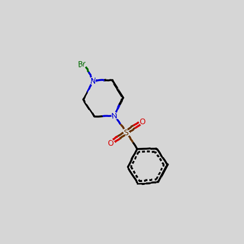 O=S(=O)(c1ccccc1)N1CCN(Br)CC1